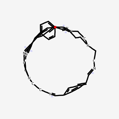 C1=N\CCN2CC/N=C/c3ccc(cc3)/C=N/CCN(CC/N=C/c3ccc/1cc3)CC/N=C/c1ccc(cc1)/C=N/CC2